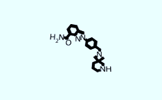 NC(=O)c1cccc2cn(-c3ccc(CN4CC5(CCCNC5)C4)cc3)nc12